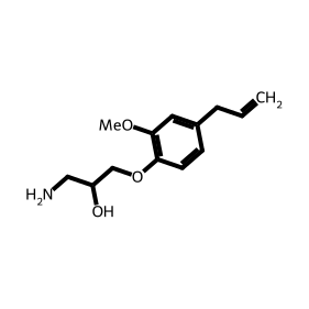 C=CCc1ccc(OCC(O)CN)c(OC)c1